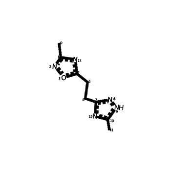 Cc1noc(CCc2n[nH]c(C)n2)n1